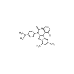 Cc1cc(C)c2oc(N(C(N)=O)c3ccc(N(C)C)cc3)c(-c3ccccc3Cl)c2c1